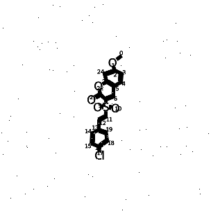 COc1ccc2cc(S(=O)(=O)C=Cc3ccc(Cl)cc3)c(=O)oc2c1